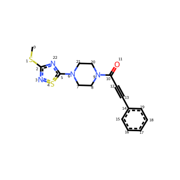 CSc1nsc(N2CCN(C(=O)C#Cc3ccccc3)CC2)n1